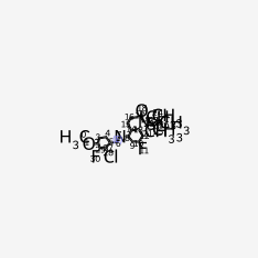 COc1ccc(/C=N/c2cc(F)cc3c2ccc(=O)n3[Si](C)(C)C(C)(C)C)c(Cl)c1F